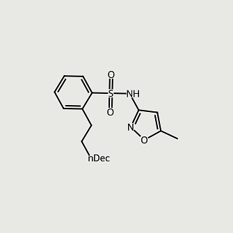 CCCCCCCCCCCCc1ccccc1S(=O)(=O)Nc1cc(C)on1